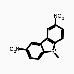 C[s+]1c2ccc([N+](=O)[O-])cc2c2cc([N+](=O)[O-])ccc21